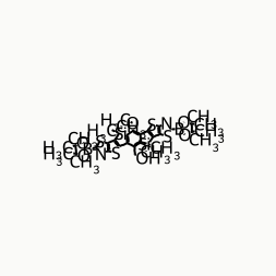 COc1c2c(c(CO)c3c1[Si](C)(C)c1c-3sc3nc(B4OC(C)(C)C(C)(C)O4)sc13)[Si](C)(C)c1c-2sc2nc(B3OC(C)(C)C(C)(C)O3)sc12